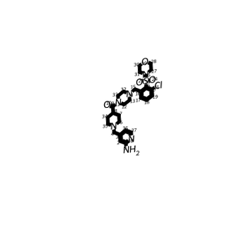 Nc1cc(CN2CCC(C(=O)N3CCN(Cc4cccc(Cl)c4S(=O)(=O)N4CCOCC4)CC3)CC2)ccn1